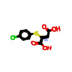 O=C(O)/C=C(\Sc1ccc(Cl)cc1)C(=O)O